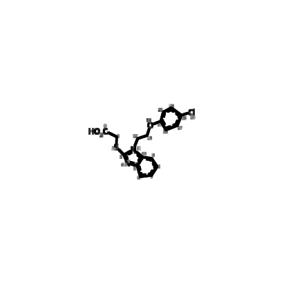 O=C(O)CSc1nc2ccccc2n1CCOc1ccc(Cl)cc1